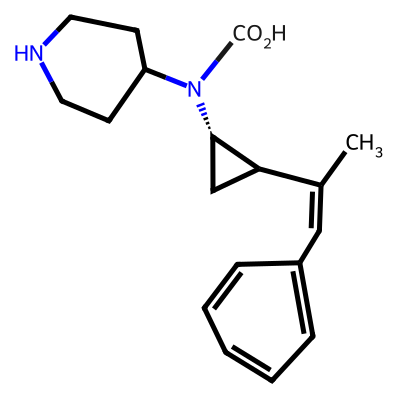 CC(=Cc1ccccc1)C1C[C@@H]1N(C(=O)O)C1CCNCC1